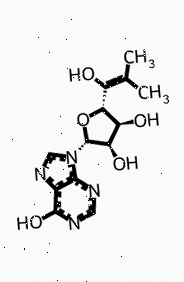 CC(C)=C(O)[C@H]1O[C@@H](n2cnc3c(O)ncnc32)[C@H](O)[C@@H]1O